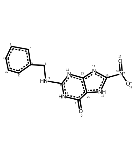 O=c1[nH]c(NCc2ccccc2)nc2nc([N+](=O)[O-])[nH]c12